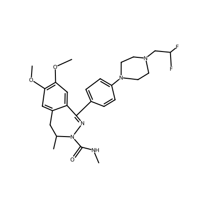 CNC(=O)N1N=C(c2ccc(N3CCN(CC(F)F)CC3)cc2)c2cc(OC)c(OC)cc2CC1C